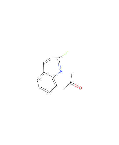 CC(C)=O.Fc1ccc2ccccc2n1